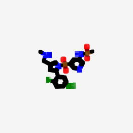 CNCc1cc(-c2ccccc2F)n(S(=O)(=O)c2cncc(NS(C)(=O)=O)c2)c1.Cl